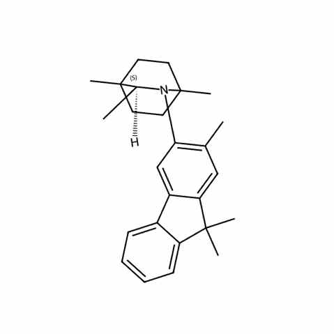 Cc1cc2c(cc1N1[C@@H](C)C3(C)CCC1(C)CC3)-c1ccccc1C2(C)C